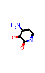 NC1=CC=NC(=O)C1=O